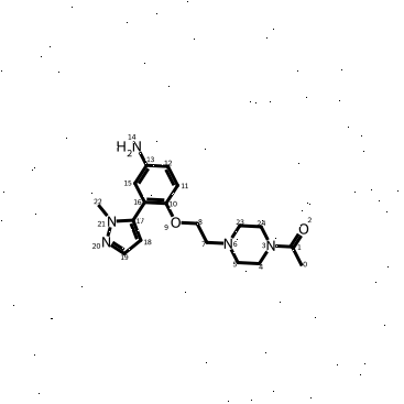 CC(=O)N1CCN(CCOc2ccc(N)cc2-c2ccnn2C)CC1